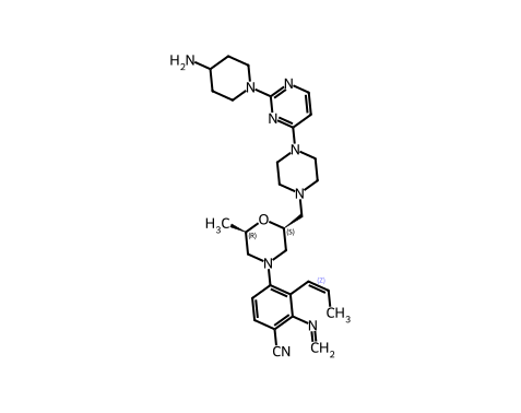 C=Nc1c(C#N)ccc(N2C[C@H](CN3CCN(c4ccnc(N5CCC(N)CC5)n4)CC3)O[C@H](C)C2)c1/C=C\C